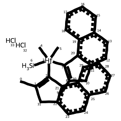 CC1=[C]([Hf]([CH3])([CH3])([SiH3])[C]2=C(C)Cc3ccc4ccccc4c32)c2c(ccc3ccccc23)C1.Cl.Cl